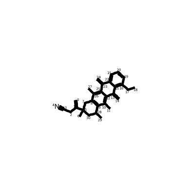 C=C(CC#N)C1(C)Cc2c(c(C)c3c(=C)c4c(CC)cccc4c(=C)c3c2C)C(C)C1